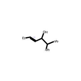 [CH2]C/C=C/C(O)C(CCC)CCC